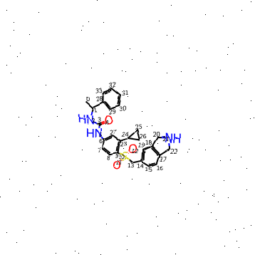 CC(NC(=O)Nc1ccc(S(=O)(=O)Cc2ccc3c(c2)CNC3)c(C2CC2)c1)c1ccccc1